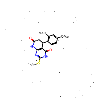 CCCSc1nc2c(c(=O)[nH]1)C(c1ccc(OC)cc1OC)CC(=O)N2